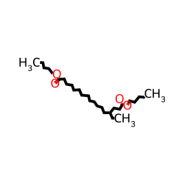 CCCCCOC(=O)CCCCCCCCCCCCC(CC)CCC(=O)OCCCCC